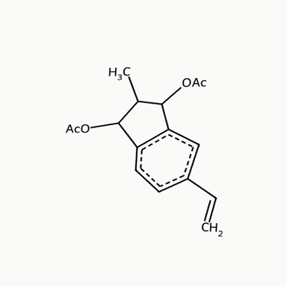 C=Cc1ccc2c(c1)C(OC(C)=O)C(C)C2OC(C)=O